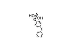 OP(O)(=S)Oc1ccc(Cc2ccccc2)cc1